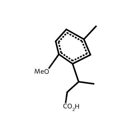 COc1ccc(C)cc1C(C)CC(=O)O